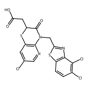 O=C(O)CC1Sc2cc(Cl)cnc2N(Cc2nc3c(Cl)c(Cl)ccc3s2)C1=O